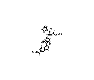 CNC(=O)c1ccc2c(c1)CC[C@@H]2N1C(=O)C2C[C@H]1CN2CC(NC(=O)OC(C)(C)C)C(=O)N1CCC2CC21